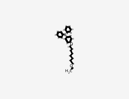 C=COCCCCCCCCOc1ccc([S+](c2ccccc2)c2ccccc2)cc1